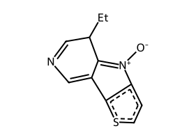 CCC1C=NC=C2C1=[N+]([O-])c1ccsc12